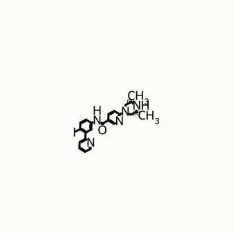 C[C@@H]1CN(c2ccc(C(=O)Nc3ccc(I)c(-c4ccccn4)c3)cn2)C[C@H](C)N1